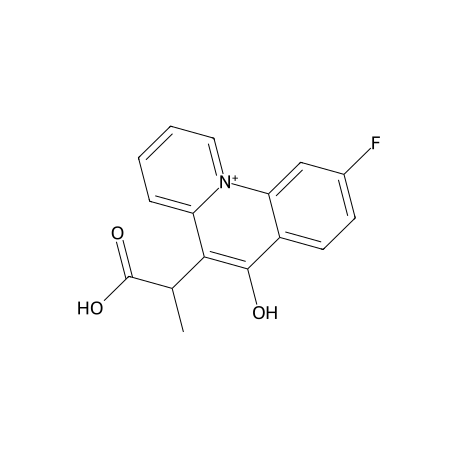 CC(C(=O)O)c1c(O)c2ccc(F)cc2[n+]2ccccc12